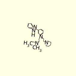 CCN(CC)CCN(CCN1CCCCC1)c1cccc(-c2nc3ccccc3[nH]2)c1